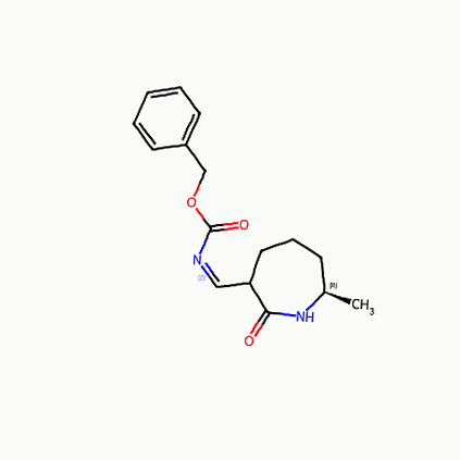 C[C@@H]1CCCC(/C=N\C(=O)OCc2ccccc2)C(=O)N1